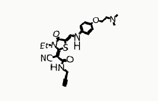 C#CCNC(=O)/C(C#N)=c1\sc(=CNc2ccc(OCCN(C)C)cc2)c(=O)n1CC